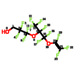 OCC(F)(F)C(F)(F)OC(F)(C(F)(F)F)C(F)(F)OC(F)=C(F)F